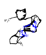 FC(F)(F)c1cccc(C2CCCCn3nc(N[C@@H]4C5CC[C@H]4CN(c4ccnc(C(F)(F)F)c4)C5)nc32)c1